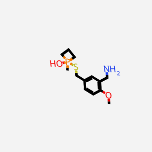 COc1ccc(CSP2(C)(O)CCC2)cc1CN